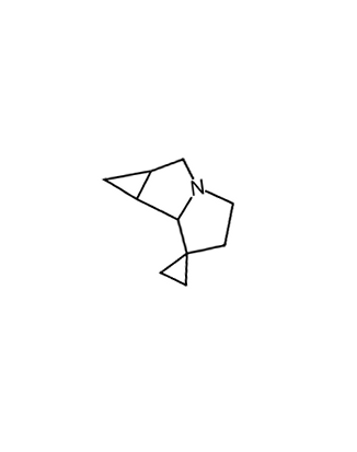 C1C2CN3CCC4(CC4)C3C12